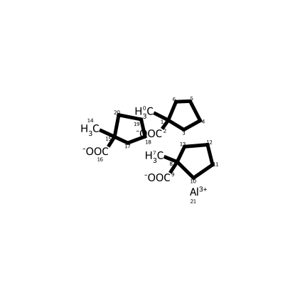 CC1(C(=O)[O-])CCCC1.CC1(C(=O)[O-])CCCC1.CC1(C(=O)[O-])CCCC1.[Al+3]